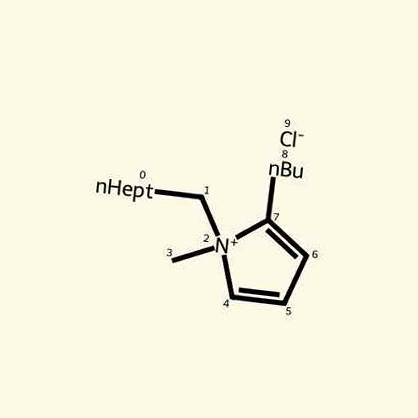 CCCCCCCC[N+]1(C)C=CC=C1CCCC.[Cl-]